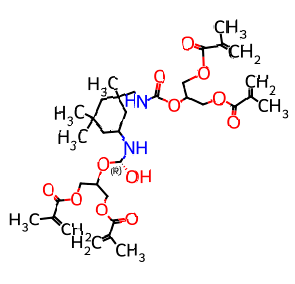 C=C(C)C(=O)OCC(COC(=O)C(=C)C)OC(=O)NCC1(C)CC(N[C@H](O)OC(COC(=O)C(=C)C)COC(=O)C(=C)C)CC(C)(C)C1